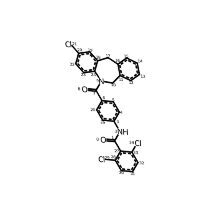 O=C(Nc1ccc(C(=O)N2Cc3ccccc3Cc3cc(Cl)ccc32)cc1)c1c(Cl)cccc1Cl